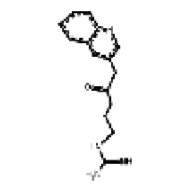 N=C(N)NCCCC(=O)Cc1cnc2ccccc2c1